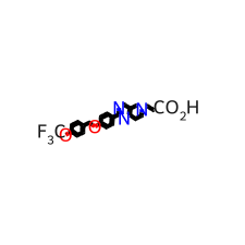 O=C(O)CCN1CCc2nc(-c3ccc(OCc4ccc(OC(F)(F)F)cc4)cc3)ncc2C1